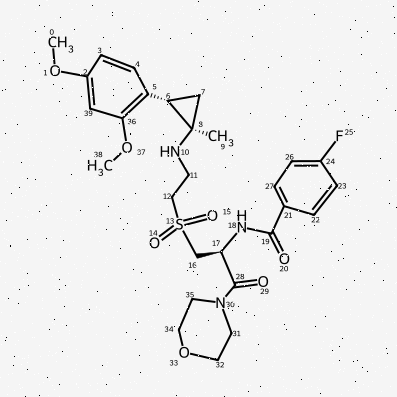 COc1ccc([C@@H]2C[C@@]2(C)NCCS(=O)(=O)C[C@@H](NC(=O)c2ccc(F)cc2)C(=O)N2CCOCC2)c(OC)c1